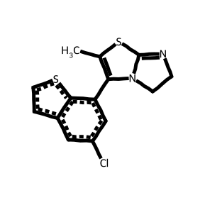 CC1=C(c2cc(Cl)cc3ccsc23)N2CCN=C2S1